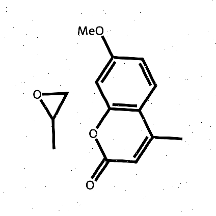 CC1CO1.COc1ccc2c(C)cc(=O)oc2c1